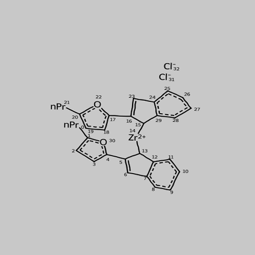 CCCc1ccc(C2=Cc3ccccc3[CH]2[Zr+2][CH]2C(c3ccc(CCC)o3)=Cc3ccccc32)o1.[Cl-].[Cl-]